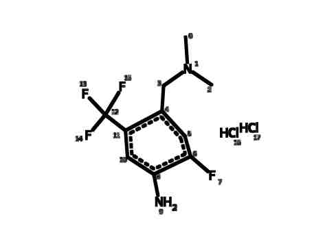 CN(C)Cc1cc(F)c(N)cc1C(F)(F)F.Cl.Cl